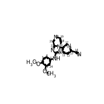 COc1ccc(NC2=N[N+]3(c4ccc(C#N)nc4)C=CN=CC3=N2)cc1OC